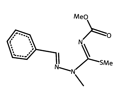 COC(=O)N=C(SC)N(C)N=Cc1ccccc1